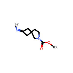 CC(C)N=C1CC2(CCN(C(=O)OC(C)(C)C)C2)C1